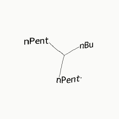 CCCC[CH]C(CCCC)CCCCC